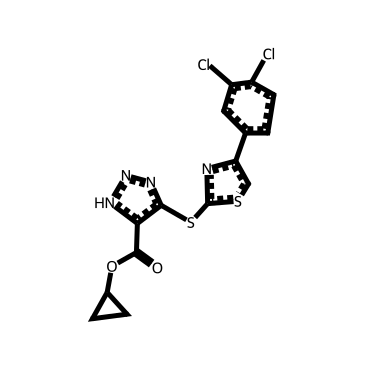 O=C(OC1CC1)c1[nH]nnc1Sc1nc(-c2ccc(Cl)c(Cl)c2)cs1